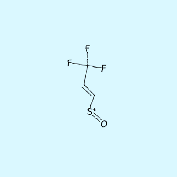 O=[S+]C=CC(F)(F)F